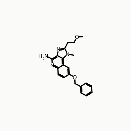 COCCc1nc2c(N)nc3ccc(OCc4ccccc4)cc3c2n1C